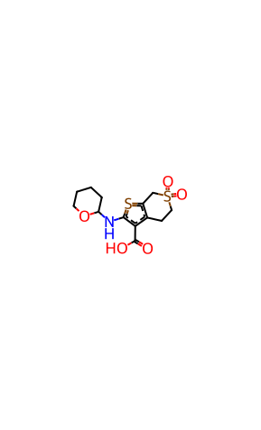 O=C(O)c1c(NC2CCCCO2)sc2c1CCS(=O)(=O)C2